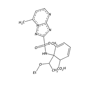 CCOC(C)C1(NS(=O)(=O)c2nc3nccc(C)n3n2)C(C)=CC=CC1C(=O)O